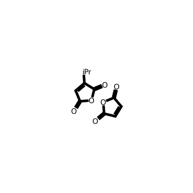 CC(C)C1=CC(=O)OC1=O.O=C1C=CC(=O)O1